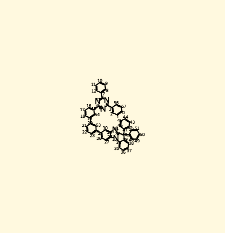 c1ccc(-c2nc(-c3ccccc3)nc(-c3cccc(-c4cccc(-c5ccc6c(c5)nc5n6-c6ccccc6C5(c5ccccc5)c5ccccc5)c4)c3)n2)cc1